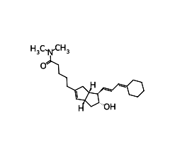 CN(C)C(=O)CCCCC1=C[C@H]2C[C@@H](O)[C@H](/C=C/C=C3CCCCC3)[C@H]2C1